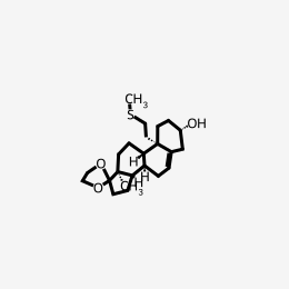 CSCC[C@]12CC[C@H](O)CC1=CC[C@@H]1[C@@H]2CC[C@@]2(C)[C@H]1CCC21OCCO1